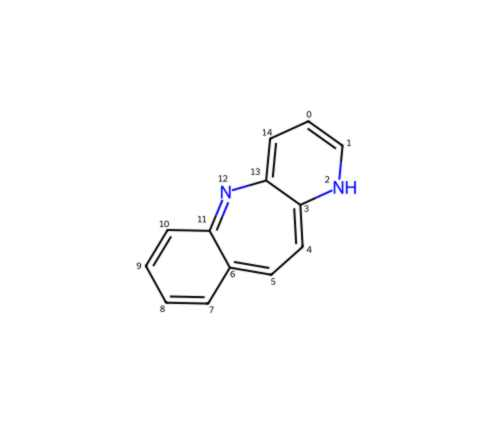 C1=CNC2=CC=c3ccccc3=NC2=C1